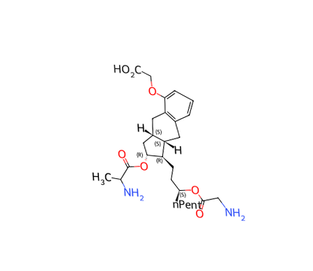 CCCCC[C@@H](CC[C@@H]1[C@H]2Cc3cccc(OCC(=O)O)c3C[C@H]2C[C@H]1OC(=O)C(C)N)OC(=O)CN